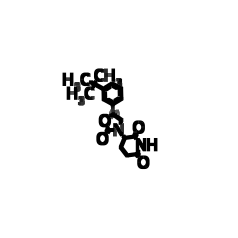 CC(C)(C)c1cccc([C@H]2CN(C3CCC(=O)NC3=O)C(=O)O2)c1